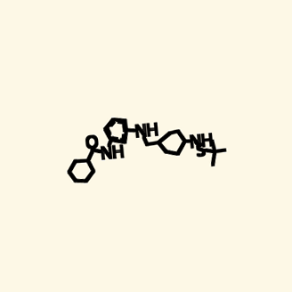 CC(C)(C)SNC1CCC(CNc2cccc(NC(=O)C3CCCCC3)c2)CC1